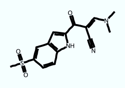 CN(C)C=C(C#N)C(=O)c1cc2cc(S(C)(=O)=O)ccc2[nH]1